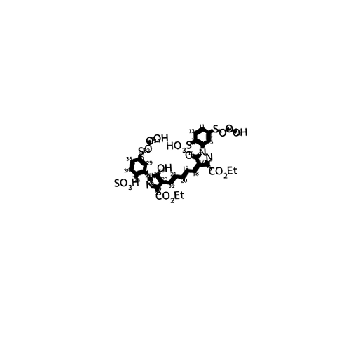 CCOC(=O)C1=NN(c2cc(SOOO)ccc2S(=O)(=O)O)C(=O)C1=CC=CC=Cc1c(C(=O)OCC)nn(-c2cc(SOOO)ccc2S(=O)(=O)O)c1O